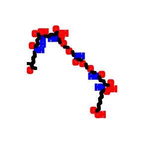 CC(=O)[C@@H](C)CCCCNC(=O)CC[C@H](NC(=O)CC[C@H](NC(=O)COCCOCCNC(=O)COCCOCCNC(=O)CC[C@H](NC(=O)CCCCCCC(=O)O)C(=O)O)C(=O)O)C(=O)O